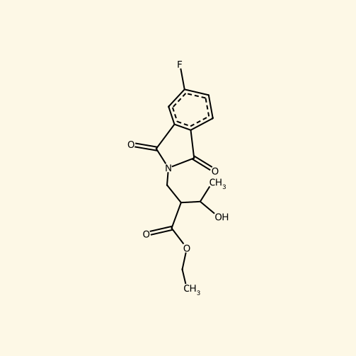 CCOC(=O)C(CN1C(=O)c2ccc(F)cc2C1=O)C(C)O